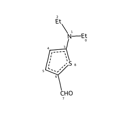 CCN(CC)c1ccc(C=O)s1